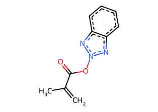 C=C(C)C(=O)On1nc2ccccc2n1